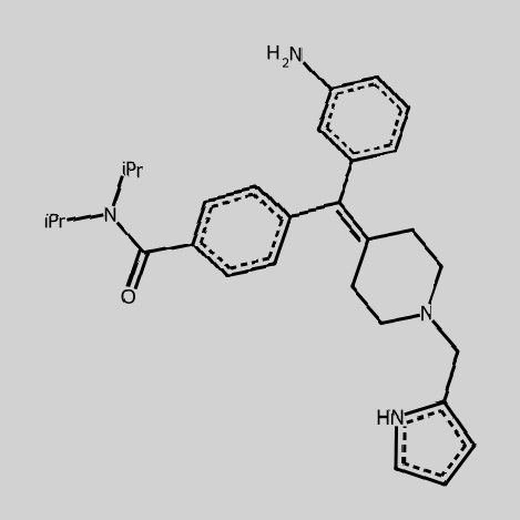 CC(C)N(C(=O)c1ccc(C(=C2CCN(Cc3ccc[nH]3)CC2)c2cccc(N)c2)cc1)C(C)C